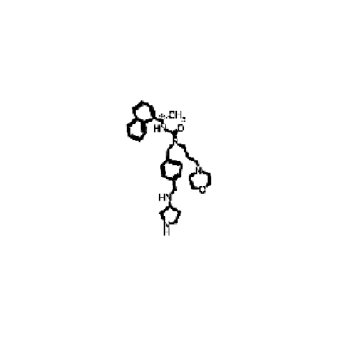 C[C@H](NC(=O)N(CCCN1CCOCC1)Cc1ccc(CNC2CCNC2)cc1)c1cccc2ccccc12